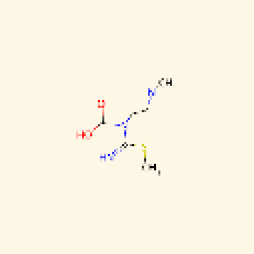 CSC(=N)N(C(=O)O)C1CN(C)C1